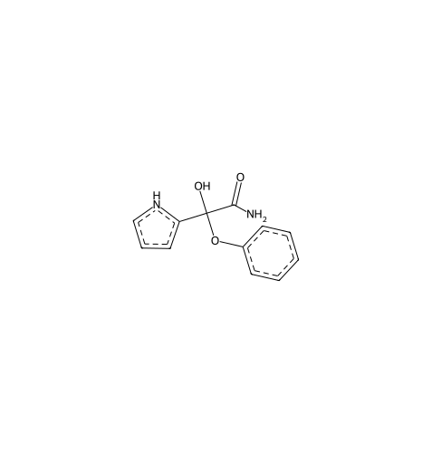 NC(=O)C(O)(Oc1ccccc1)c1ccc[nH]1